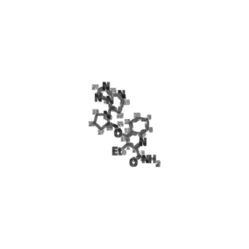 CCc1c(C(N)=O)nc2ccccc2c1OC[C@H]1CCCN1c1ccnc2ncnn12